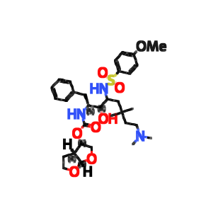 COc1ccc(S(=O)(=O)NC(CC(C)(C)CCN(C)C)[C@H](O)[C@H](Cc2ccccc2)NC(=O)O[C@@H]2CO[C@@H]3OCC[C@@H]32)cc1